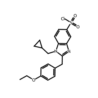 CCOc1ccc(Cc2nc3cc(S(=O)(=O)Cl)ccc3n2CC2CC2)cc1